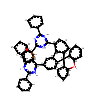 c1ccc(-c2nc(-c3ccccc3)nc(-c3cccc4c3-c3cc(-c5nc(-c6ccccc6)nc6c5sc5ccccc56)ccc3C43c4ccccc4Oc4ccccc43)n2)cc1